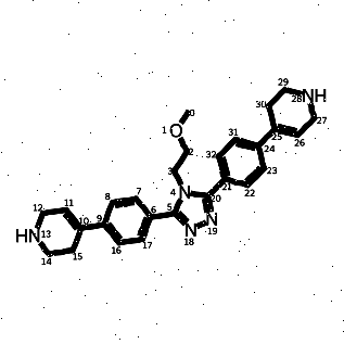 COCCn1c(-c2ccc(C3=CCNCC3)cc2)nnc1-c1ccc(C2=CCNCC2)cc1